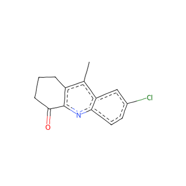 Cc1c2c(nc3ccc(Cl)cc13)C(=O)CCC2